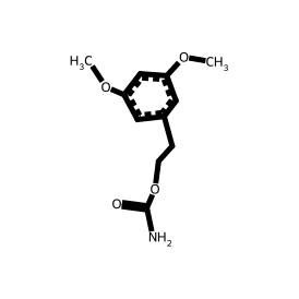 COc1cc(CCOC(N)=O)cc(OC)c1